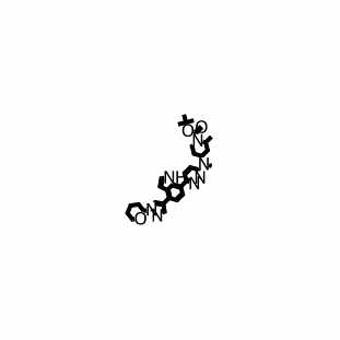 CC1CC(N(C)c2ccc(-c3ccc(-c4cnn(C5CCCCO5)c4)c4cc[nH]c34)nn2)CCN1C(=O)OC(C)(C)C